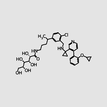 CC(CCCNC(=O)[C@@H](O)[C@@H](O)[C@H](O)[C@@H](O)CO)c1ccc(Cl)c(CNC2(c3cnccc3-c3ccccc3OC3CC3)CC2)c1